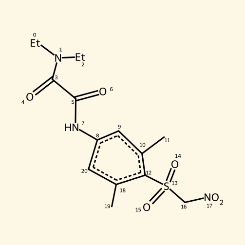 CCN(CC)C(=O)C(=O)Nc1cc(C)c(S(=O)(=O)C[N+](=O)[O-])c(C)c1